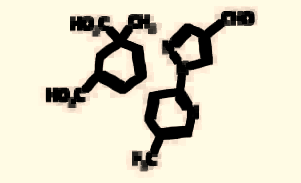 CC1(C(=O)O)C=CC=C(C(=O)O)C1.O=Cc1cnn(-c2ccc(C(F)(F)F)cn2)c1